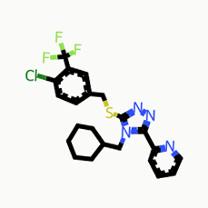 FC(F)(F)c1cc(CSc2nnc(-c3ccccn3)n2CC2CCCCC2)ccc1Cl